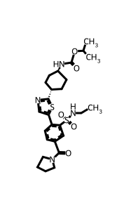 CCNS(=O)(=O)c1cc(C(=O)N2CCCC2)ccc1-c1cnc([C@H]2CC[C@H](NC(=O)OC(C)C)CC2)s1